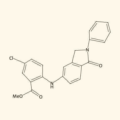 COC(=O)c1cc(Cl)ccc1Nc1ccc2c(c1)CN(c1ccccc1)C2=O